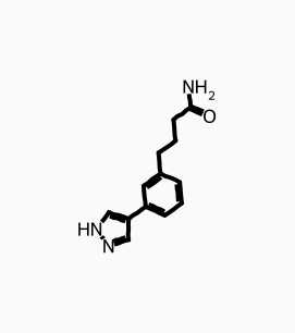 NC(=O)CCCc1cccc(-c2cn[nH]c2)c1